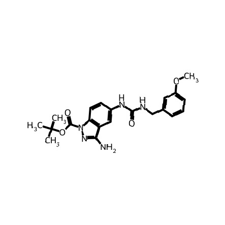 COc1cccc(CNC(=O)Nc2ccc3c(c2)c(N)nn3C(=O)OC(C)(C)C)c1